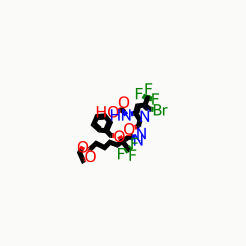 O=C(O)Nc1cc(C(F)(F)F)c(Br)nc1-c1nnc(C(CCCCC2OCCO2)(OCc2ccccc2)C(F)(F)F)o1